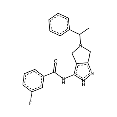 CC(c1ccccc1)N1Cc2n[nH]c(NC(=O)c3cccc(F)c3)c2C1